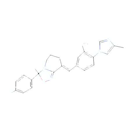 CCC1(c2ccc(F)cc2)ON=C2/C(=C/c3ccc(-n4cnc(C)c4)c(OC)c3)CCCN21